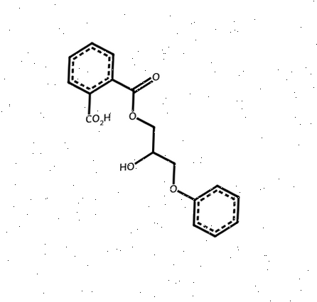 O=C(O)c1ccccc1C(=O)OCC(O)COc1ccccc1